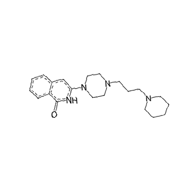 O=c1[nH]c(N2CCN(CCCN3CCCCC3)CC2)cc2ccccc12